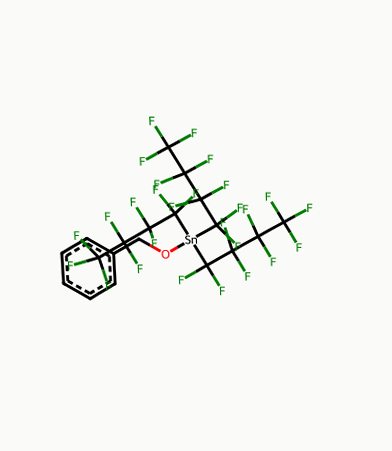 FC(F)(F)C(F)(F)C(F)(F)[C](F)(F)[Sn]([O]Cc1ccccc1)([C](F)(F)C(F)(F)C(F)(F)C(F)(F)F)[C](F)(F)C(F)(F)C(F)(F)C(F)(F)F